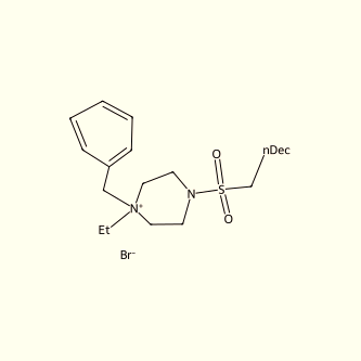 CCCCCCCCCCCS(=O)(=O)N1CC[N+](CC)(Cc2ccccc2)CC1.[Br-]